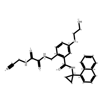 N#CCNC(=O)C(=O)NCc1ccc(OCCO)cc1C(=O)NC1(c2cccc3ccccc23)CC1